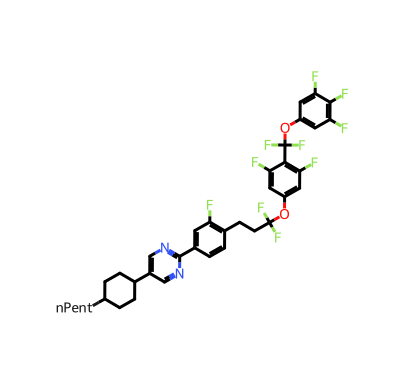 CCCCCC1CCC(c2cnc(-c3ccc(CCC(F)(F)Oc4cc(F)c(C(F)(F)Oc5cc(F)c(F)c(F)c5)c(F)c4)c(F)c3)nc2)CC1